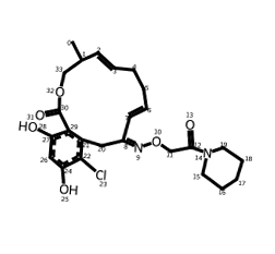 CC1/C=C/CC/C=C/C(=N\OCC(=O)N2CCCCC2)Cc2c(Cl)c(O)cc(O)c2C(=O)OC1